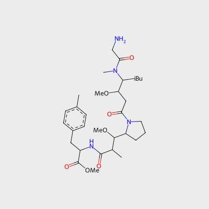 CCC(C)C(C(CC(=O)N1CCCC1C(OC)C(C)C(=O)NC(Cc1ccc(C)cc1)C(=O)OC)OC)N(C)C(=O)CN